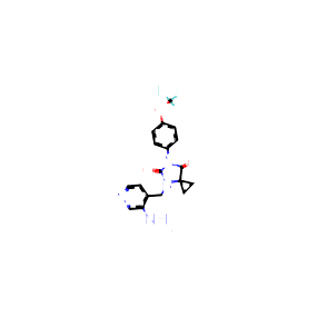 Nc1cnccc1CN1C(=O)N(c2ccc(OC(F)(F)F)cc2)C(=O)C12CC2